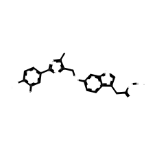 Cc1nc(-c2ccc(C(F)(F)F)c(F)c2)sc1COc1ccc2c(CC(=O)OC(C)(C)C)c[nH]c2c1